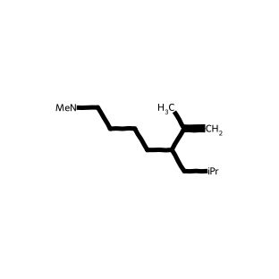 C=C(C)C(CCCCNC)CC(C)C